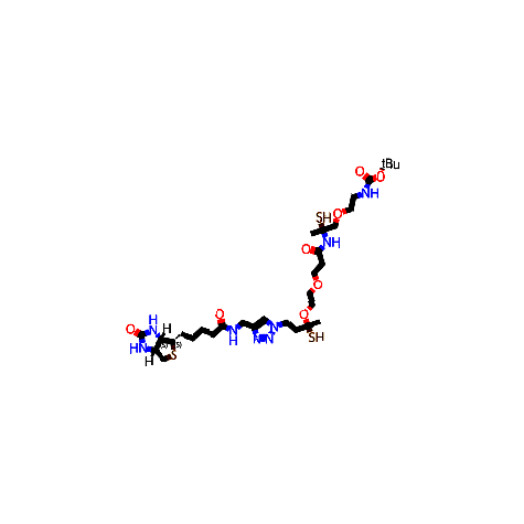 CC(S)(COCCNC(=O)OC(C)(C)C)NC(=O)CCOCCOC(C)(S)CCn1cc(CNC(=O)CCCC[C@@H]2SC[C@@H]3NC(=O)N[C@@H]32)nn1